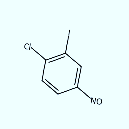 O=Nc1ccc(Cl)c(I)c1